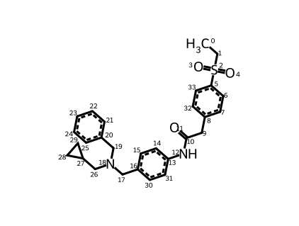 CCS(=O)(=O)c1ccc(CC(=O)Nc2ccc(CN(Cc3ccccc3)CC3CC3)cc2)cc1